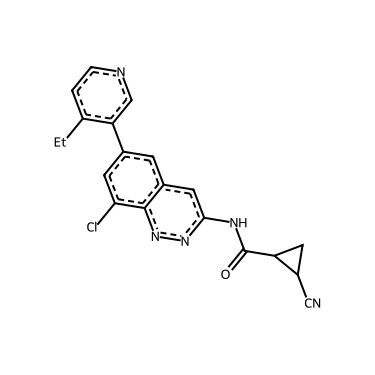 CCc1ccncc1-c1cc(Cl)c2nnc(NC(=O)C3CC3C#N)cc2c1